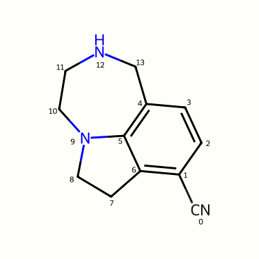 N#Cc1ccc2c3c1CCN3CCNC2